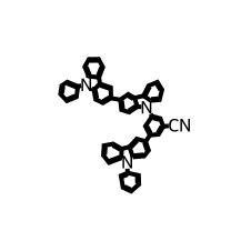 N#Cc1cc(-c2ccc3c(c2)c2ccccc2n3-c2ccccc2)cc(-n2c3ccccc3c3cc(-c4ccc5c(c4)c4ccccc4n5-c4ccccc4)ccc32)c1